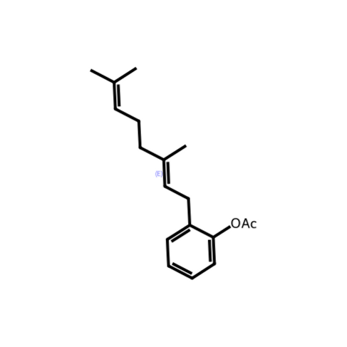 CC(=O)Oc1ccccc1C/C=C(\C)CCC=C(C)C